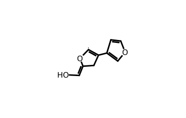 OC=C1CC(c2ccoc2)=[C]O1